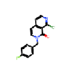 O=c1c2c(Cl)nccc2ccn1Cc1ccc(F)cc1